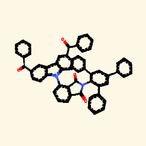 O=C(c1ccccc1)c1ccc2c(c1)c1cc(C(=O)c3ccccc3)ccc1n2-c1cccc2c1C(=O)N(c1c(-c3ccccc3)cc(-c3ccccc3)cc1-c1ccccc1)C2=O